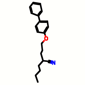 CCCCC(C#N)CCCOc1ccc(-c2ccccc2)cc1